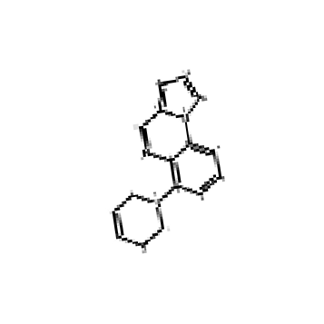 C1=CCN(c2cccc3c2ncc2cccn23)CC1